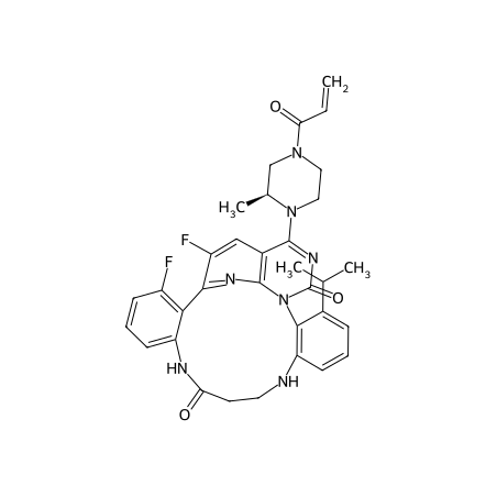 C=CC(=O)N1CCN(c2nc(=O)n3c4nc(c(F)cc24)-c2c(F)cccc2NC(=O)CCNc2cccc(C(C)C)c2-3)[C@@H](C)C1